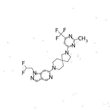 Cc1nc(N2CCC3(CCN(c4cc5c(cn4)cnn5CC(F)F)CC3)C2)cc(C(F)(F)F)n1